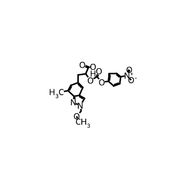 COCn1cc2cc(CC(OC(=O)Oc3ccc([N+](=O)[O-])cc3)C(=O)O)cc(C)c2n1